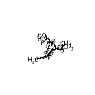 C=C(C)C(=O)OCC(CCC(F)(F)C(F)(F)C(F)(F)C(F)(F)CCCCCCC)COC(=O)C(=C)CC(CO)CO